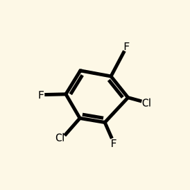 Fc1cc(F)c(Cl)c(F)c1Cl